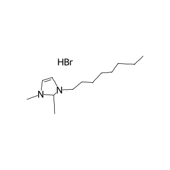 Br.CCCCCCCCN1C=CN(C)C1C